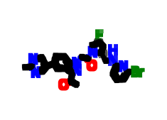 CC(=O)c1nn(CC(=O)N2C[C@H](F)C[C@H]2CNc2cccc(Br)n2)c2ccc(-c3cnc(C)nc3)cc12